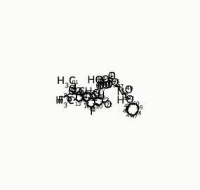 CCC(=O)OC1(C(=O)SCF)C(C)CC2C3CC(F)C4=CC(=O)C=C(OCOP(=O)(O)OP(=O)(O)OCCNC(=O)COC5C#CCCCCC5)C4(C)C3(F)CCC21C